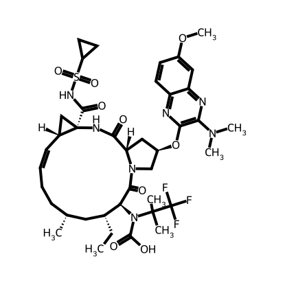 CC[C@@H]1C[C@H](C)CC/C=C\[C@@H]2C[C@@]2(C(=O)NS(=O)(=O)C2CC2)NC(=O)[C@@H]2C[C@@H](Oc3nc4ccc(OC)cc4nc3N(C)C)CN2C(=O)[C@H]1N(C(=O)O)C(C)(C)C(F)(F)F